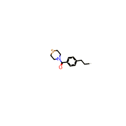 [CH2]CCc1ccc(C(=O)N2CCSCC2)cc1